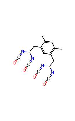 Cc1cc(C)c(CC(N=C=O)N=C=O)cc1CC(N=C=O)N=C=O